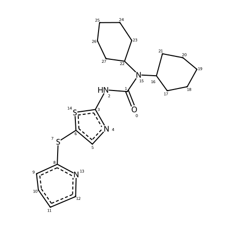 O=C(Nc1ncc(Sc2ccccn2)s1)N(C1CCCCC1)C1CCCCC1